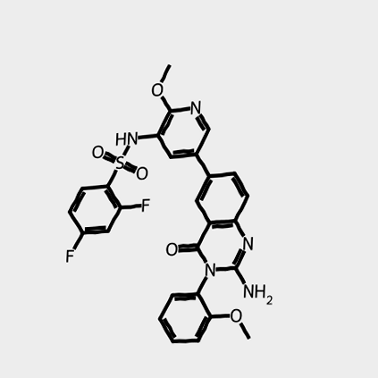 COc1ccccc1-n1c(N)nc2ccc(-c3cnc(OC)c(NS(=O)(=O)c4ccc(F)cc4F)c3)cc2c1=O